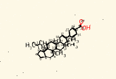 CC(C)[C@@H]1CCC2CC[C@@]3(C)C4CC[C@@H]5C(CC=C(c6ccc(C(=O)O)cc6)C5(C)C)[C@H]4CCC3[C@H]21